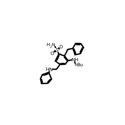 CCCCNc1cc(CNc2ccccc2)cc(S(N)(=O)=O)c1Cc1ccccc1